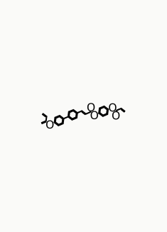 C=CC(=C)Oc1ccc(-c2ccc(/C=C/C(=O)Oc3ccc(OC(=O)C=C)cc3)cc2)cc1